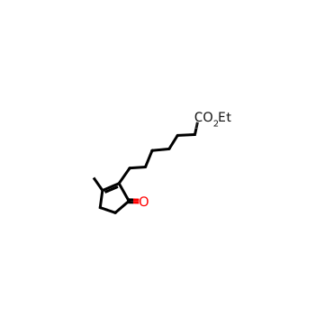 CCOC(=O)CCCCCCC1=C(C)CCC1=O